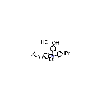 CC/C(=C(/c1ccc(O)cc1)c1ccc(OCCN(C)C)cc1)c1ccc(C(C)C)cc1.Cl